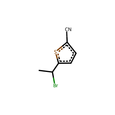 CC(Br)c1ccc(C#N)s1